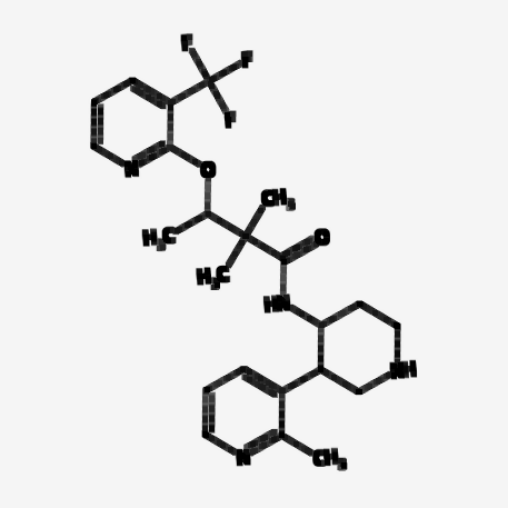 Cc1ncccc1C1CNCCC1NC(=O)C(C)(C)C(C)Oc1ncccc1C(F)(F)F